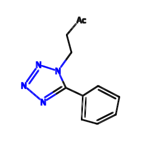 CC(=O)CCn1nnnc1-c1ccccc1